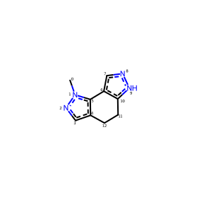 Cn1ncc2c1-c1cn[nH]c1CC2